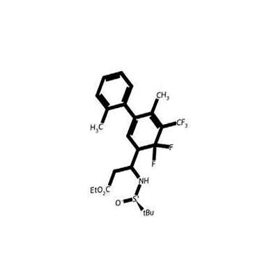 CCOC(=O)CC(N[S@+]([O-])C(C)(C)C)C1C=C(c2ccccc2C)C(C)=C(C(F)(F)F)C1(F)F